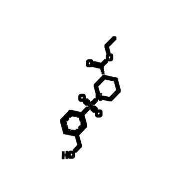 CCOC(=O)[C@@H]1CCCN(S(=O)(=O)c2cccc(CO)c2)C1